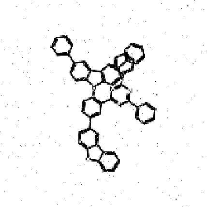 c1ccc(-c2ccc3c(c2)c2cc(-c4ccccc4)ccc2n3-c2ccc(-c3ccc4oc5ccccc5c4c3)cc2-c2nc(-c3ccccc3)nc(-c3ccccc3)n2)cc1